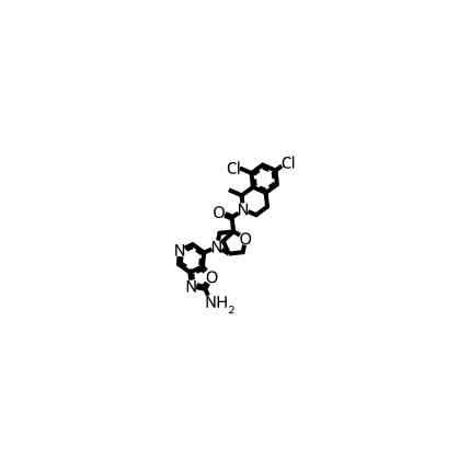 CC1c2c(Cl)cc(Cl)cc2CCN1C(=O)C12CC(CO1)N(c1cncc3nc(N)oc13)C2